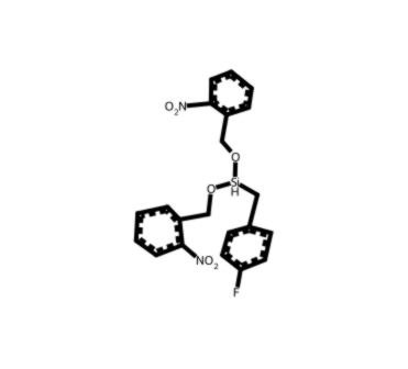 O=[N+]([O-])c1ccccc1CO[SiH](Cc1ccc(F)cc1)OCc1ccccc1[N+](=O)[O-]